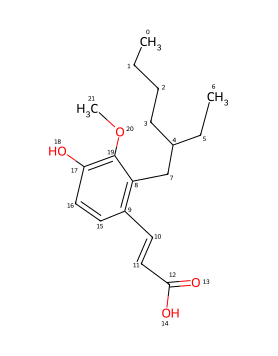 CCCCC(CC)Cc1c(C=CC(=O)O)ccc(O)c1OC